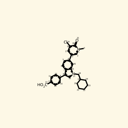 Cn1cc(-c2ccc3c(-c4ccc(C(=O)O)cc4)cn(CC4CCCCC4)c3c2)cc(Cl)c1=O